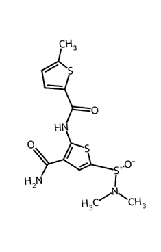 Cc1ccc(C(=O)Nc2sc([S+]([O-])N(C)C)cc2C(N)=O)s1